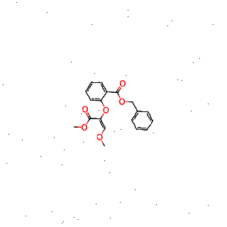 COC=C(Oc1ccccc1C(=O)OCc1ccccc1)C(=O)OC